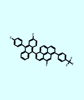 Fc1ccc(-c2c3ccccc3c(-c3ccc4c(F)cc5c(-c6ccc(C(F)(F)F)cc6)ccc6ccc3c4c65)c3ccc(F)cc23)cc1